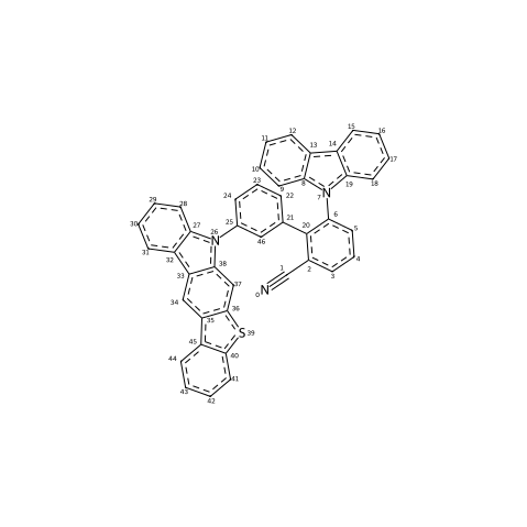 N#Cc1cccc(-n2c3ccccc3c3ccccc32)c1-c1cccc(-n2c3ccccc3c3cc4c(cc32)sc2ccccc24)c1